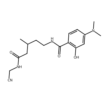 CC(CCNC(=O)c1ccc(N(C)C)cc1O)CC(=O)NCC#N